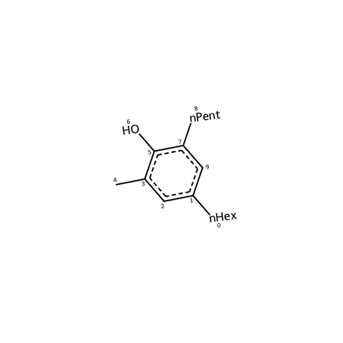 CCCCCCc1cc(C)c(O)c(CCCCC)c1